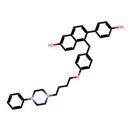 Oc1ccc(-c2ccc3cc(O)ccc3c2Cc2ccc(OCCCCN3CCN(c4ccccc4)CC3)cc2)cc1